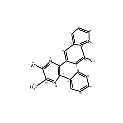 CC(=O)c1nc(-c2cc(Cl)c3ncccc3c2)c(-c2ccccc2)nc1N